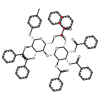 Cc1ccc(O[C@@H]2O[C@H](COC(=O)c3ccccc3)[C@@H](O[C@@H]3O[C@H](COC(=O)c4ccccc4)[C@H](OC(=O)c4ccccc4)[C@H](OC(=O)c4ccccc4)[C@H]3OC(=O)c3ccccc3)[C@H](OC(=O)c3ccccc3)[C@H]2OC(=O)c2ccccc2)cc1